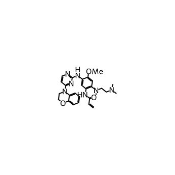 C=CC(=O)Nc1cc(Nc2nccc(N3CCOc4ccccc43)n2)c(OC)cc1N(C)CCN(C)C